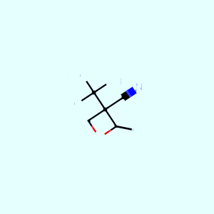 CC1OCC1(C#N)C(C)(C)C